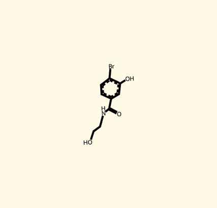 O=C(NCCO)c1ccc(Br)c(O)c1